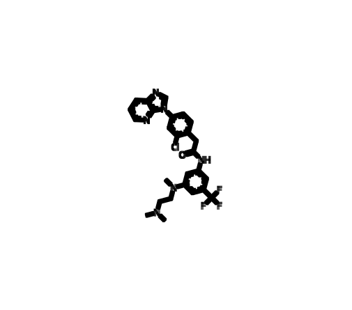 CN(C)CCN(C)c1cc(NC(=O)Cc2ccc(-n3cnc4cccnc43)cc2Cl)cc(C(F)(F)F)c1